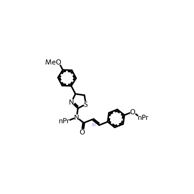 CCCOc1ccc(/C=C/C(=O)N(CCC)C2=NC(c3ccc(OC)cc3)CS2)cc1